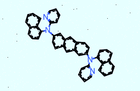 c1ccc(N(c2ccc3cc4cc(N(c5ccccn5)c5cccc6ccccc56)ccc4cc3c2)c2cccc3ccccc23)nc1